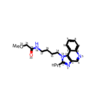 CCCc1nc2cnc3ccccc3c2n1CCCCNC(=O)COC